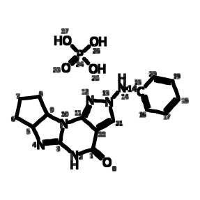 O=C1NC2=NC3CCCC3N2c2nn(N[14c]3ccccc3)cc21.O=P(O)(O)O